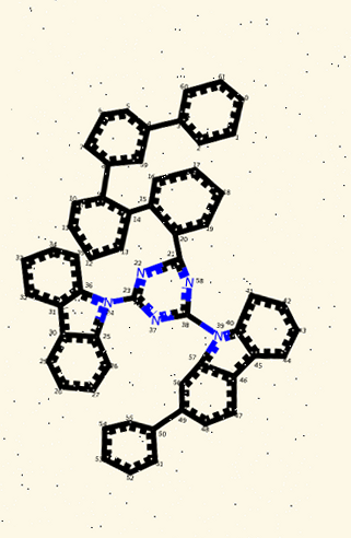 c1ccc(-c2cccc(-c3ccccc3-c3ccccc3-c3nc(-n4c5ccccc5c5ccccc54)nc(-n4c5ccccc5c5ccc(-c6ccccc6)cc54)n3)c2)cc1